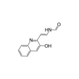 O=CNC=Cc1nc2ccccc2cc1O